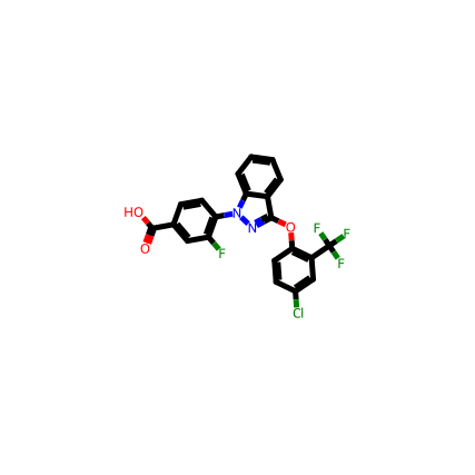 O=C(O)c1ccc(-n2nc(Oc3ccc(Cl)cc3C(F)(F)F)c3ccccc32)c(F)c1